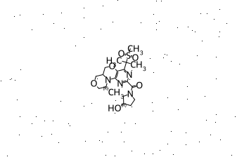 C[C@@H]1COCC2COc3c(nc(C(=O)N4CC[C@@H](O)C4)nc3C(C)(C)S(C)(=O)=O)N21